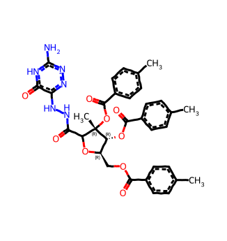 Cc1ccc(C(=O)OC[C@H]2OC(C(=O)NNc3nnc(N)[nH]c3=O)[C@](C)(OC(=O)c3ccc(C)cc3)[C@@H]2OC(=O)c2ccc(C)cc2)cc1